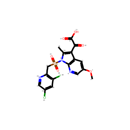 COc1cnc2c(c1)c(C(=O)C(=O)O)c(C)n2S(=O)(=O)Cc1ncc(Cl)cc1F